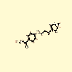 NC(=O)c1ccc(OCCCN2CC3CC3C2)cc1